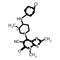 Cc1nc2c(N3CCC(Nc4ccc(Cl)cc4)[C@H](C)C3)c(C#N)c(=O)n(C)c2s1